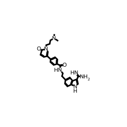 CN(C)CCCn1cc(-c2ccc(C(=O)NCCc3ccc4[nH]cc(C(=N)N)c4c3)cc2)ccc1=O